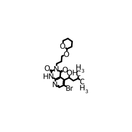 CC(C)CC(O)c1c(Br)cnc2[nH]c(=O)n(CCCOC3CCCCO3)c(=O)c12